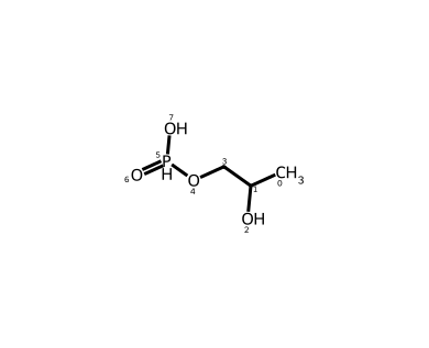 CC(O)CO[PH](=O)O